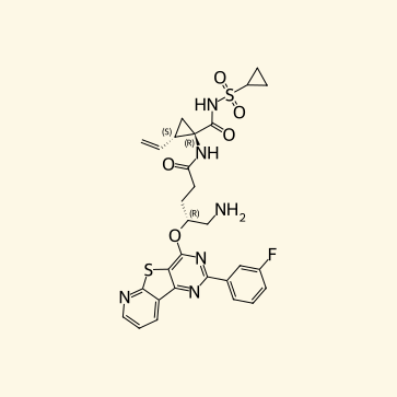 C=C[C@@H]1C[C@]1(NC(=O)CC[C@H](CN)Oc1nc(-c2cccc(F)c2)nc2c1sc1ncccc12)C(=O)NS(=O)(=O)C1CC1